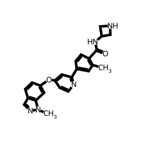 Cc1cc(-c2cc(Oc3ccc4cnn(C)c4c3)ccn2)ccc1C(=O)NC1CNC1